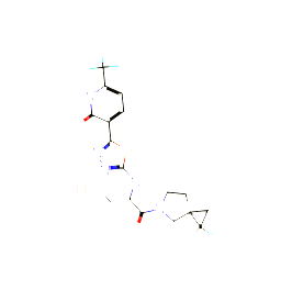 CC[C@H](Nc1nnc(-c2ccc(C(F)(F)F)[nH]c2=O)o1)C(=O)N1CC[C@@]2(C1)CC2(F)F